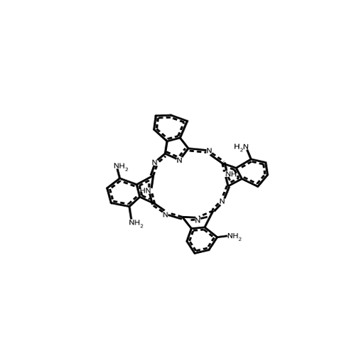 Nc1cccc2c1-c1nc-2nc2[nH]c(nc3nc(nc4[nH]c(n1)c1cccc(N)c41)-c1ccccc1-3)c1c(N)ccc(N)c21